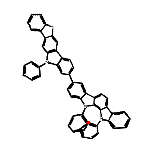 c1ccc(-n2c3cc(-c4ccc5c(c4)c4ccc6c7ccccc7n(-c7ccccc7)c6c4n5-c4ccccc4)ccc3c3cc4oc5ccccc5c4cc32)cc1